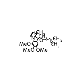 COc1cc(C(C)(OCCCN(C)C)c2nccn2C)cc(OC)c1OC